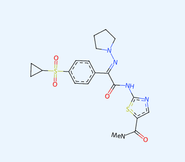 CNC(=O)c1cnc(NC(=O)/C(=N/N2CCCC2)c2ccc(S(=O)(=O)C3CC3)cc2)s1